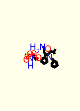 CC(C)Cc1c(CC(N)=O)c2c(OCC(=O)NS(C)(=O)=O)cccc2n1Cc1ccccc1